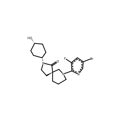 O=C1N([C@H]2CC[C@@H](O)CC2)CC[C@@]12CCCN(c1ncc(Br)cc1F)C2